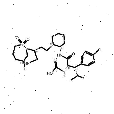 CC(C)[C@@H](c1ccc(Cl)cc1)[C@H](NC(=O)O)C(=O)N[C@H]1CCCC[C@@H]1CC[C@H]1CN[C@@H]2CCCS(=O)(=O)N1C2